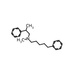 CC(CN(C)CCCCCc1ccccc1)c1ccccc1